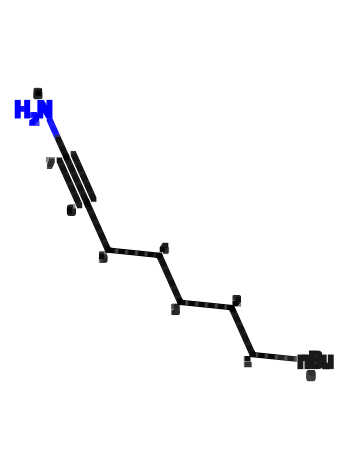 CCCCCCCCCC#CN